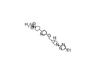 CCc1cnc(N2CC3[C@@H](COc4ccc(C5CCN(S(C)(=O)=O)CC5)nc4)[C@@H]3C2)nc1